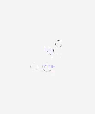 CCc1c(CC2CCCCC2)nc(SCc2n[nH]c(-c3ccc(F)cc3)c2Cl)[nH]c1=O